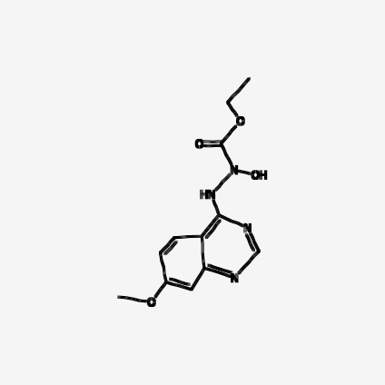 CCOC(=O)N(O)Nc1ncnc2cc(OC)ccc12